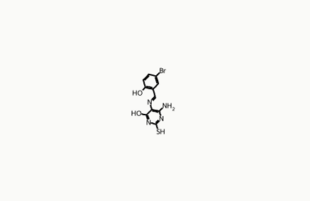 Nc1nc(S)nc(O)c1/N=C/c1cc(Br)ccc1O